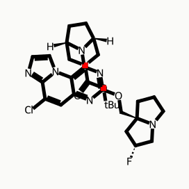 CC(C)(C)OC(=O)N1C[C@H]2CC[C@@H](C1)N2c1nc(OC[C@@]23CCCN2C[C@H](F)C3)nc2cc(Cl)c3nccn3c12